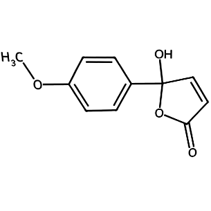 COc1ccc(C2(O)C=CC(=O)O2)cc1